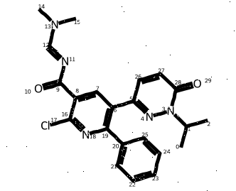 CC(C)n1nc(-c2cc(C(=O)N=CN(C)C)c(Cl)nc2-c2ccccc2)ccc1=O